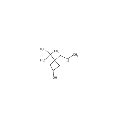 CNCC1(C(C)(C)C)CC(O)C1